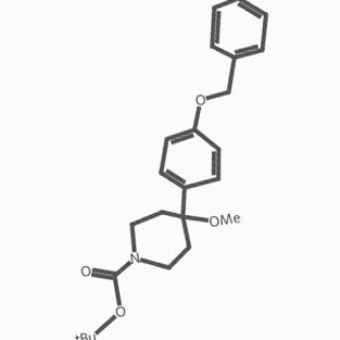 COC1(c2ccc(OCc3ccccc3)cc2)CCN(C(=O)OC(C)(C)C)CC1